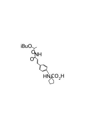 CC(C)COC(C)ONC(=O)C=Cc1ccc(CNC2(C(=O)O)CCCC2)cc1